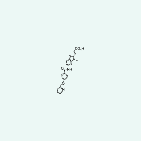 Cc1c(C=CC(=O)O)nc2ccc(NC(=O)c3ccc(OCc4ccccn4)cc3)cn12